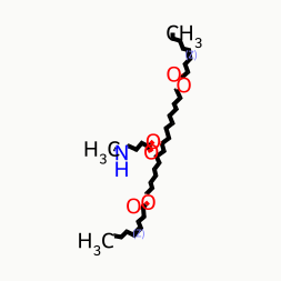 CCCC/C=C\CCC(=O)OCCCCCCCCC(CCCCCCCCOC(=O)CC/C=C\CCCC)OC(=O)CCCNC